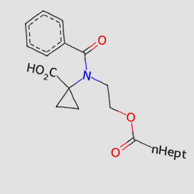 CCCCCCCC(=O)OCCN(C(=O)c1ccccc1)C1(C(=O)O)CC1